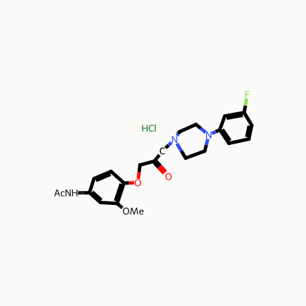 COc1cc(NC(C)=O)ccc1OCC(=O)CN1CCN(c2cccc(F)c2)CC1.Cl